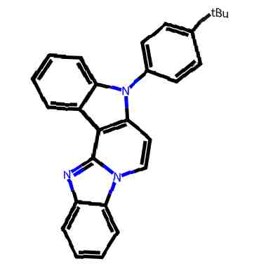 CC(C)(C)c1ccc(-n2c3ccccc3c3c2ccn2c4ccccc4nc32)cc1